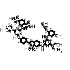 CCN(CC)c1nc(Nc2ccc(/C=C/c3ccc(Nc4nc(Nc5cc(S(=O)(=O)O)ccc5S(=O)(=O)O)nc(N(CC)CC)n4)cc3)c(S(=O)(=O)O)c2)nc(Nc2cc(C)ccc2SOOO)n1